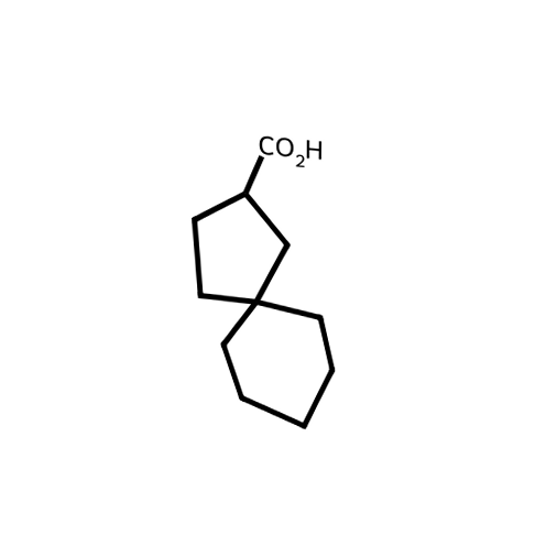 O=C(O)C1CCC2(CCCCC2)C1